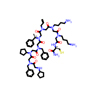 C=CCN(CC(=O)N(CCCCN)CC(=O)N(CCCCN)CC(=O)N[C@@H](CS)C(N)=O)C(=O)CN(C(=O)CN(Cc1ccccc1)C(=O)CN(C(=O)CN(Cc1ccccc1)C(=O)CNC1CCCC1)C1CCCC1)[C@H](C)c1ccccc1